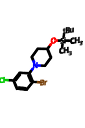 CC(C)(C)[Si](C)(C)OC1CCN(c2cc(Cl)ccc2Br)CC1